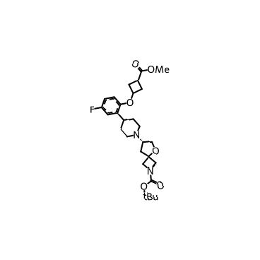 COC(=O)C1CC(Oc2ccc(F)cc2C2CCN([C@@H]3COC4(C3)CN(C(=O)OC(C)(C)C)C4)CC2)C1